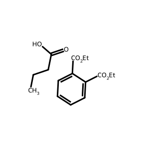 CCCC(=O)O.CCOC(=O)c1ccccc1C(=O)OCC